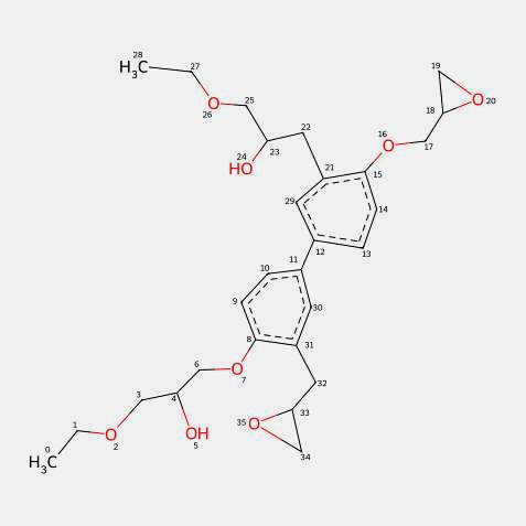 CCOCC(O)COc1ccc(-c2ccc(OCC3CO3)c(CC(O)COCC)c2)cc1CC1CO1